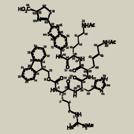 CNC(=N)NCCC[C@H](NC(=O)OCC1c2ccccc2-c2ccccc21)C(=O)N[C@@H](Cc1c[nH]cn1)C(=O)N[C@@H](CCCCNC(C)=O)C(=O)N[C@@H](CCCCNC(C)=O)C(=O)Nc1ccc2nc(C3=N[C@@H](C(=O)O)CS3)sc2c1